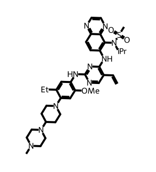 C=Cc1cnc(Nc2cc(CC)c(N3CCC(N4CCN(C)CC4)CC3)cc2OC)nc1Nc1ccc2nccnc2c1N(C(C)C)S(C)(=O)=O